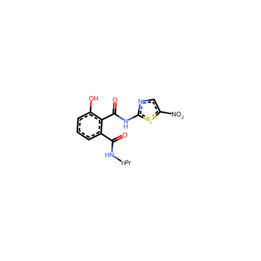 CCCNC(=O)c1cccc(O)c1C(=O)Nc1ncc([N+](=O)[O-])s1